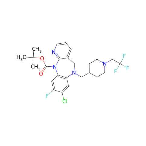 CC(C)(C)OC(=O)N1c2cc(F)c(Cl)cc2N(CC2CCN(CC(F)(F)F)CC2)Cc2cccnc21